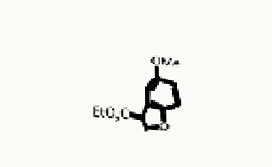 CCOC(=O)C1COc2ccc(OC)cc21